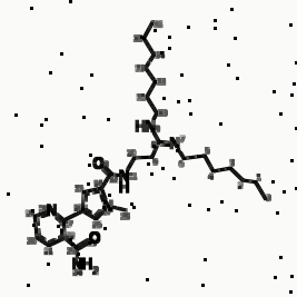 CCCCCCC/N=C(\CCNC(=O)c1cc(-c2ncccc2C(N)=O)cn1C)NCCCCCCC